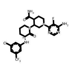 NC(=O)C1CCN(c2ncnc(N)c2F)CC1N1CCC[C@@H](Nc2cc(Cl)cc(C(F)(F)F)c2)C1=O